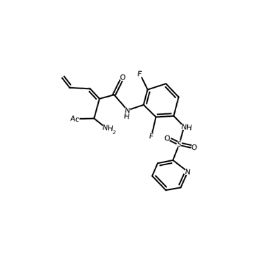 C=C/C=C(/C(=O)Nc1c(F)ccc(NS(=O)(=O)c2ccccn2)c1F)C(N)C(C)=O